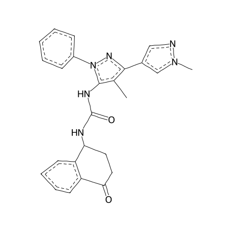 Cc1c(-c2cnn(C)c2)nn(-c2ccccc2)c1NC(=O)NC1CCC(=O)c2ccccc21